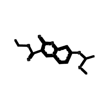 CCOC(=O)c1cc2ccc(OC(C)OC)cc2oc1=O